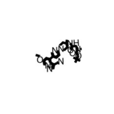 CCOc1cc(-c2ccc(N3CCC(C)(NC(=O)CN(C)C(=O)OC(C)(C)C)CC3)nc2)c2c(C#N)cnn2c1